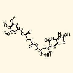 COc1cc(COC(=O)CCC(=O)OC[C@@H]2CNC[C@H](n3ccc(NC(=O)O)nc3=O)O2)cc(OC)c1OC